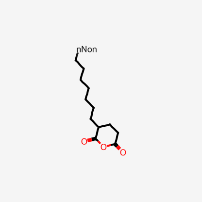 CCCCCCCCCCCCCCCCC1CCC(=O)OC1=O